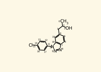 CC(O)Cc1ccc2nnn(-c3ccc(Cl)cc3)c2c1